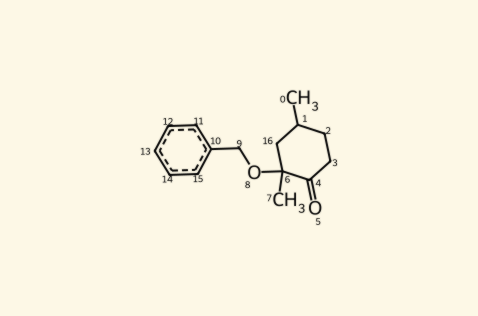 CC1CCC(=O)C(C)(OCc2ccccc2)C1